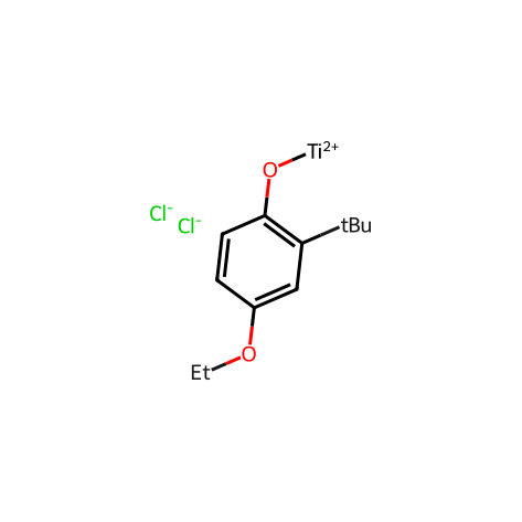 CCOc1ccc([O][Ti+2])c(C(C)(C)C)c1.[Cl-].[Cl-]